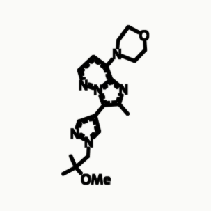 COC(C)(C)Cn1cc(-c2c(C)nc3c(N4CCOCC4)ccnn23)cn1